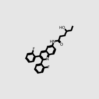 CCC(O)CCC(=O)Nc1ccc2nc(-c3ccccc3F)c(-c3ccccc3F)cc2c1